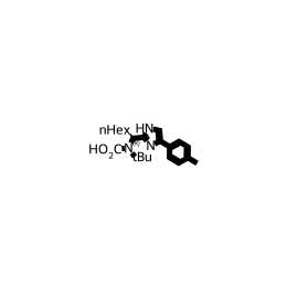 CCCCCC[C@H](c1nc(-c2ccc(C)cc2)c[nH]1)N(C(=O)O)C(C)(C)C